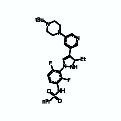 CCCS(=O)(=O)Nc1ccc(F)c(N2C=C(c3cncc(N4CCN(C(C)(C)C)CC4)c3)C(CC)N2)c1F